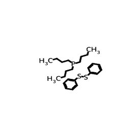 CCCCP(CCCC)CCCC.c1ccc(SSc2ccccc2)cc1